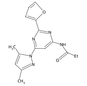 CCC(=O)Nc1cc(-n2nc(C)cc2C)nc(-c2ccco2)n1